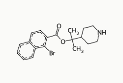 CC(C)(OC(=O)c1ccc2ccccc2c1Br)C1CCNCC1